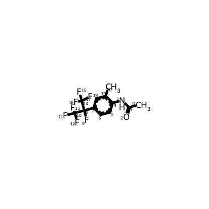 CC(=O)Nc1ccc(C(F)(C(F)(F)F)C(F)(F)F)cc1C